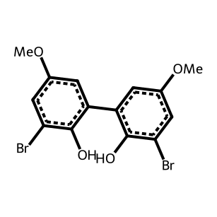 COc1cc(Br)c(O)c(-c2cc(OC)cc(Br)c2O)c1